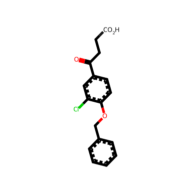 O=C(O)CCC(=O)c1ccc(OCc2ccccc2)c(Cl)c1